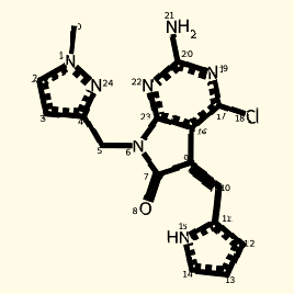 Cn1ccc(CN2C(=O)C(=Cc3ccc[nH]3)c3c(Cl)nc(N)nc32)n1